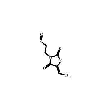 CC=C1SC(=S)N(CCP=O)C1=O